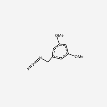 COc1cc(CN=[N+]=[N-])cc(OC)c1